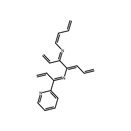 C=C\C=C/N=C(C=C)/C(=C/C=C)/N=C(\C=C)c1ccccn1